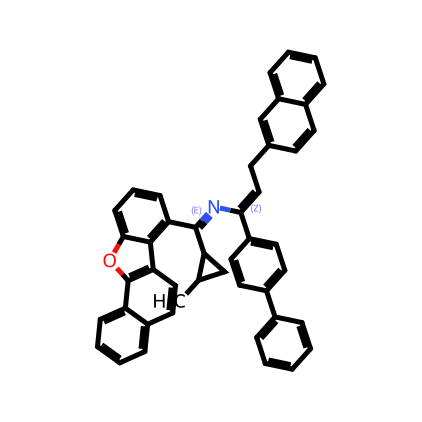 CC1CC1/C(=N\C(=C/Cc1ccc2ccccc2c1)c1ccc(-c2ccccc2)cc1)c1cccc2oc3c4ccccc4ccc3c12